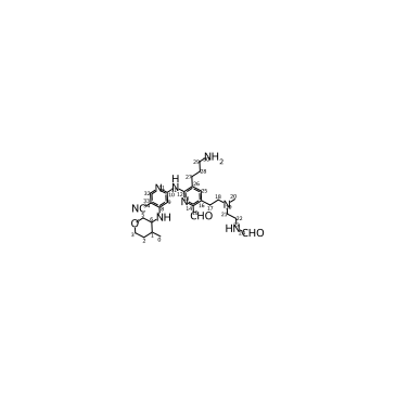 CC1CCOCC1Nc1cc(Nc2nc(C=O)c(CCN(C)CCNC=O)cc2CCCN)ncc1C#N